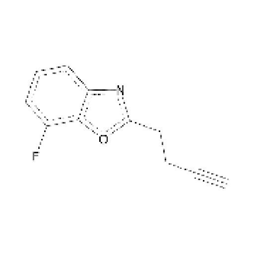 C#CCCc1nc2cccc(F)c2o1